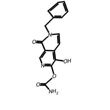 NC(=O)Oc1ncc2c(=O)n(Cc3ccccc3)ccc2c1O